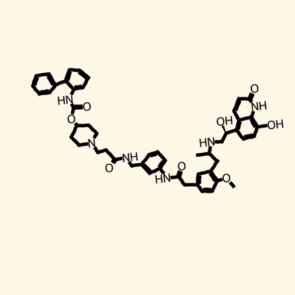 COc1ccc(CC(=O)Nc2cccc(CNC(=O)CCN3CCC(OC(=O)Nc4ccccc4-c4ccccc4)CC3)c2)cc1CC(C)NC[C@@H](O)c1ccc(O)c2[nH]c(=O)ccc12